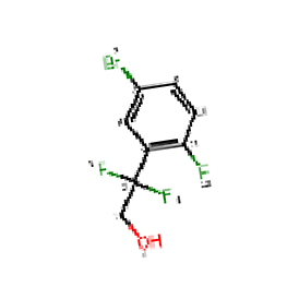 OCC(F)(F)c1cc(Br)ccc1F